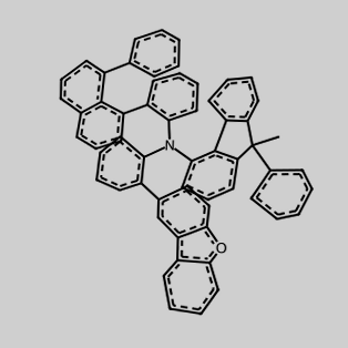 CC1(c2ccccc2)c2ccccc2-c2c(N(c3ccccc3-c3ccc4oc5ccccc5c4c3)c3ccccc3-c3cccc4cccc(-c5ccccc5)c34)cccc21